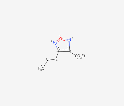 CCOC(=O)c1nonc1CCC(F)(F)F